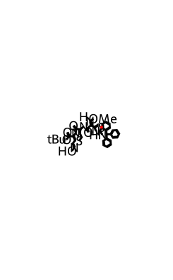 CON=C(C(=O)NC1C(=O)N2C(C(=O)OC(C)(C)C)=C(C=NO)SCC12)c1csc(NC(c2ccccc2)(c2ccccc2)c2ccccc2)n1